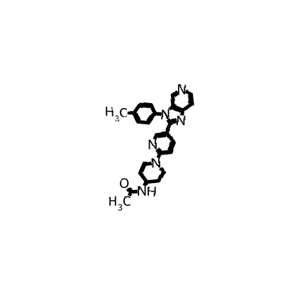 CC(=O)NC1CCN(c2ccc(-c3nc4ccncc4n3-c3ccc(C)cc3)cn2)CC1